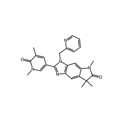 Cc1cc(-c2nc3cc4c(cc3n2Cc2ccccn2)N(C)C(=O)C4(C)C)cn(C)c1=O